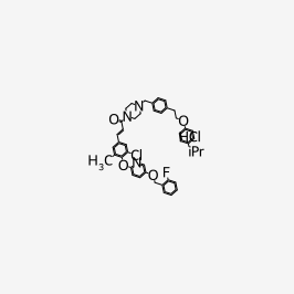 Cc1cc(/C=C/C(=O)N2CCN(Cc3ccc(CCOc4ccc(C(C)C)cc4)cc3)CC2)cc(Cl)c1Oc1ccc(OCc2ccccc2F)cn1.Cl